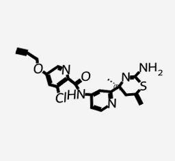 C#CCOc1cnc(C(=O)Nc2ccnc([C@]3(C)CC(=C)SC(N)=N3)c2)c(Cl)c1